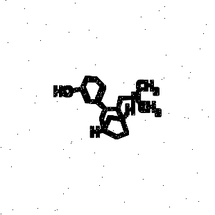 CN(C)C[C@H]1[C@H]2CC[C@H](C2)C[C@H]1c1cccc(O)c1